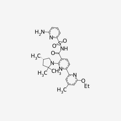 CCOc1cc(C)cc(-c2ccc(C(=O)NS(=O)(=O)c3cccc(N)n3)c(N3C[C@@H](C)CC3(C)C)n2)n1